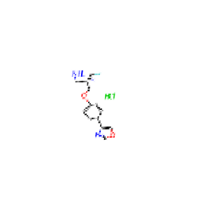 Cl.NC/C(=C/F)COc1ccc(-c2cocn2)cc1